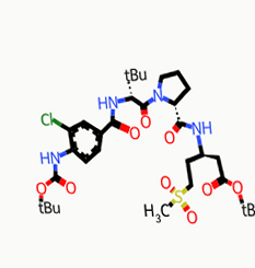 CC(C)(C)OC(=O)C[C@@H](CCS(C)(=O)=O)NC(=O)[C@H]1CCCN1C(=O)[C@H](NC(=O)c1ccc(NC(=O)OC(C)(C)C)c(Cl)c1)C(C)(C)C